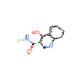 O=C(NF)c1cnc2ccccc2c1O